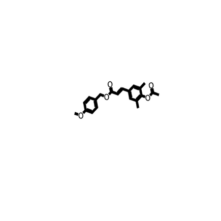 COc1ccc(COC(=O)/C=C/c2cc(C)c(OC(C)=O)c(C)c2)cc1